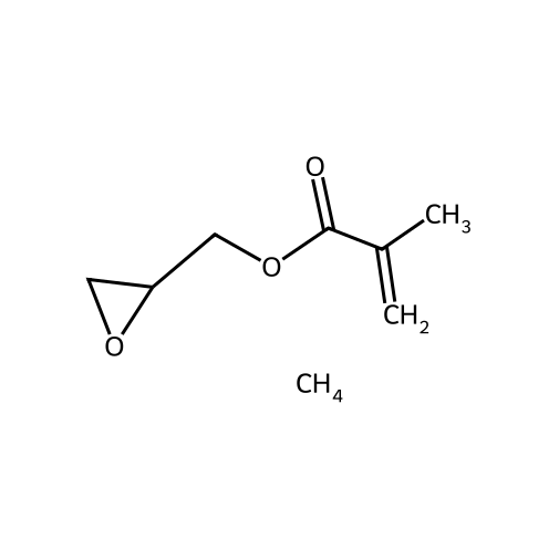 C.C=C(C)C(=O)OCC1CO1